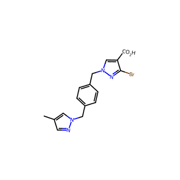 Cc1cnn(Cc2ccc(Cn3cc(C(=O)O)c(Br)n3)cc2)c1